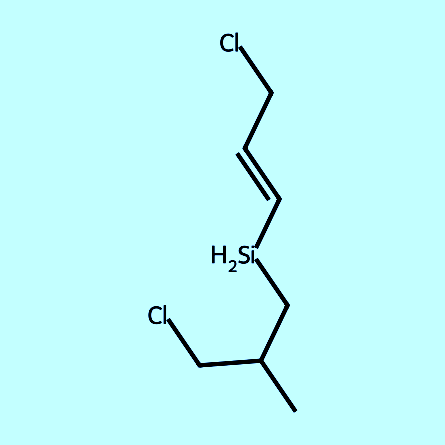 CC(CCl)C[SiH2]C=CCCl